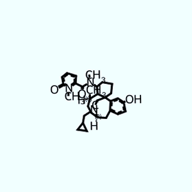 C[C@H]1CC[C@@H]2Cc3ccc(O)cc3C3(CCCC(N(C)C(=O)c4cccc(=O)n4C)C13)CCN2CC1CC1